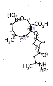 CCCNC(C)CC(=O)N1CC(OC2=C(\C(=O)O)COB(O)CCC(C)/C=C\2)C1